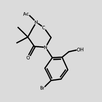 CC(=O)N1CCN(c2cc(Br)ccc2CO)C(=O)C1(C)C